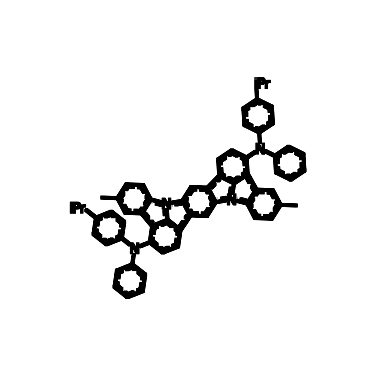 Cc1ccc2c(c1)c1c(N(c3ccccc3)c3ccc(C(C)C)cc3)ccc3c4cc5c(cc4n2c31)c1ccc(N(c2ccccc2)c2ccc(C(C)C)cc2)c2c3cc(C)ccc3n5c12